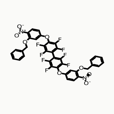 O=[N+]([O-])c1ccc(Oc2c(F)c(F)c(-c3c(F)c(F)c(Oc4ccc([N+](=O)[O-])c(OCc5ccccc5)c4)c(F)c3F)c(F)c2F)cc1OCc1ccccc1